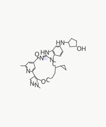 Cc1cc2cc(n1)-c1cnn(C)c1OCCCC(C1CC1)CN1/C(=N/C2=O)Nc2cc(NC3CCC(O)C3)ccc21